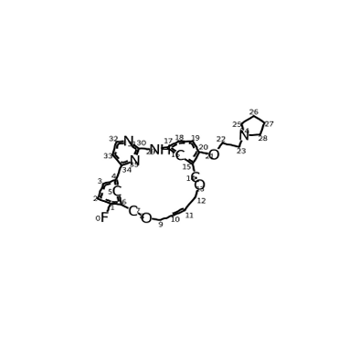 Fc1ccc2cc1COC/C=C\COCc1cc(ccc1OCCN1CCCC1)Nc1nccc-2n1